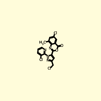 Cc1cc(Cl)cc2c(=O)oc(-c3cc(CCl)nn3-c3ncccc3Cl)nc12